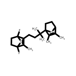 CC1=C(C)C2(C(C)(C)CCC3=C(C)C4(F)CCC3(F)O4)CCC1O2